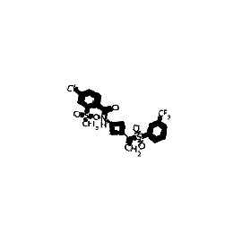 C=C([C@H]1C[C@H](NC(=O)c2ccc(Cl)cc2S(C)(=O)=O)C1)S(=O)(=O)c1cccc(C(F)(F)F)c1